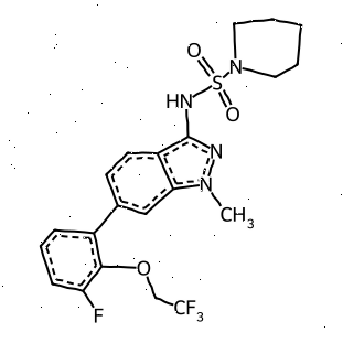 Cn1nc(NS(=O)(=O)N2CCCCC2)c2ccc(-c3cccc(F)c3OCC(F)(F)F)cc21